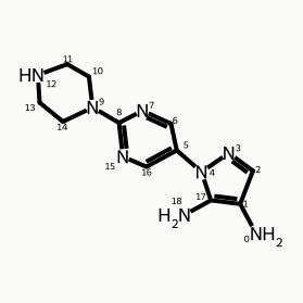 Nc1cnn(-c2cnc(N3CCNCC3)nc2)c1N